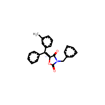 Cc1cccc(/C(=C2/OC(=O)N(Cc3ccccc3)C2=O)c2ccccc2)c1